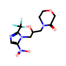 O=C1COCCN1CC(O)Cn1c([N+](=O)[O-])cnc1C(F)(F)F